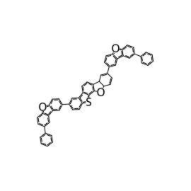 C1=CC2Oc3c(ccc4c3sc3ccc(-c5ccc6oc7ccc(-c8ccccc8)cc7c6c5)cc34)C2C=C1c1ccc2oc3ccc(-c4ccccc4)cc3c2c1